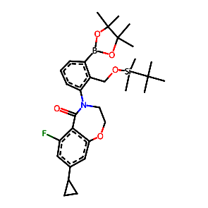 CC1(C)OB(c2cccc(N3CCOc4cc(C5CC5)cc(F)c4C3=O)c2CO[Si](C)(C)C(C)(C)C)OC1(C)C